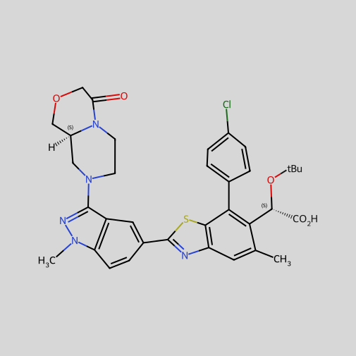 Cc1cc2nc(-c3ccc4c(c3)c(N3CCN5C(=O)COC[C@@H]5C3)nn4C)sc2c(-c2ccc(Cl)cc2)c1[C@H](OC(C)(C)C)C(=O)O